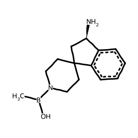 CB(O)N1CCC2(CC1)C[C@@H](N)c1ccccc12